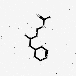 CC(=O)OCCC(C)CC1CC=CCC1